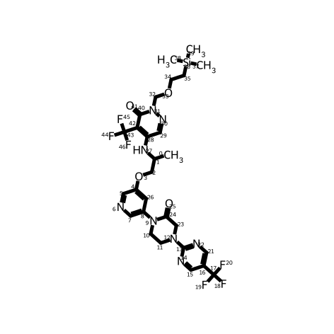 CC(COc1cncc(N2CCN(c3ncc(C(F)(F)F)cn3)CC2=O)c1)Nc1cnn(COCC[Si](C)(C)C)c(=O)c1C(F)(F)F